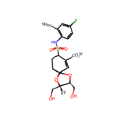 CCCCCCc1cc(F)ccc1NS(=O)(=O)C1CCC2(C=C1C(=O)O)O[C@@H](CO)[C@](CC)(CO)O2